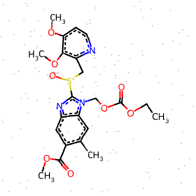 CCOC(=O)OCn1c([S+]([O-])Cc2nccc(OC)c2OC)nc2cc(C(=O)OC)c(C)cc21